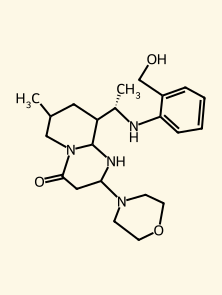 CC1CC([C@H](C)Nc2ccccc2CO)C2NC(N3CCOCC3)CC(=O)N2C1